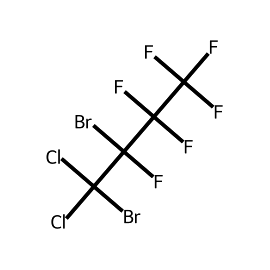 FC(F)(F)C(F)(F)C(F)(Br)C(Cl)(Cl)Br